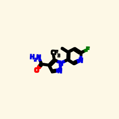 Cc1cc(F)ncc1-n1ncc(C(N)=O)c1C(F)(F)F